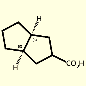 O=C(O)C1C[C@H]2CCC[C@H]2C1